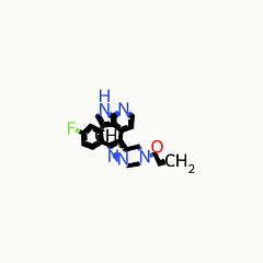 C=CC(=O)N1CCn2nc(-c3ccc(F)cc3)c(-c3ccnc4[nH]cc(C)c34)c2C1